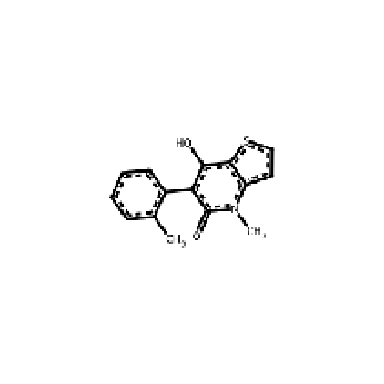 Cc1ccccc1-c1c(O)c2sccc2n(C)c1=O